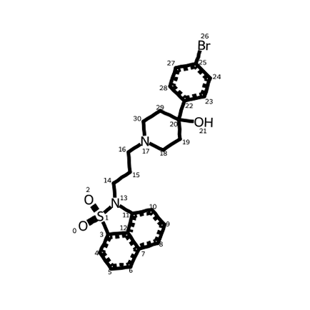 O=S1(=O)c2cccc3cccc(c23)N1CCCN1CCC(O)(c2ccc(Br)cc2)CC1